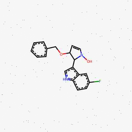 ON1C=CC(OCc2ccccc2)C1c1c[nH]c2ccc(F)cc12